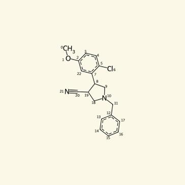 COc1ccc(Cl)c(C2CN(Cc3ccccc3)CC2C#N)c1